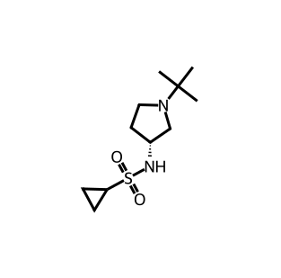 CC(C)(C)N1CC[C@@H](NS(=O)(=O)C2CC2)C1